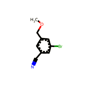 COCc1cc(Br)cc(C#N)c1